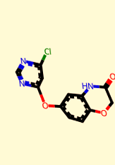 O=C1COc2ccc(Oc3cc(Cl)ncn3)cc2N1